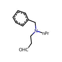 CCCN(CCC=O)Cc1ccccc1